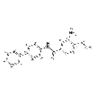 CSc1ccc(C(=O)Nc2ccc(-c3ccccc3)cc2)cc1N